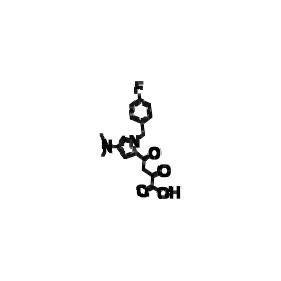 CN(C)c1cc(C(=O)CC(=O)C(=O)O)n(Cc2ccc(F)cc2)c1